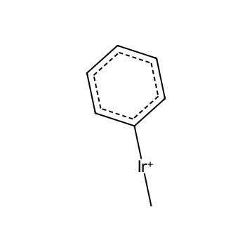 [CH3][Ir+][c]1ccccc1